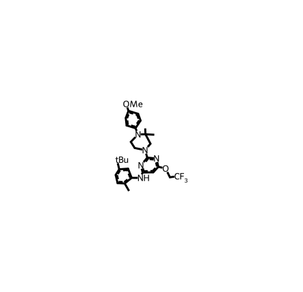 COc1ccc(N2CCN(c3nc(Nc4cc(C(C)(C)C)ccc4C)cc(OCC(F)(F)F)n3)CC2(C)C)cc1